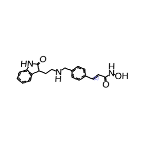 O=C(/C=C/c1ccc(CNCCC2C(=O)Nc3ccccc32)cc1)NO